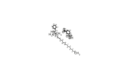 CCCCCCCCCCCCCCCCCC(C)(C)NCc1ccccc1.O=[N+]([O-])c1cccc(S(=O)(=O)O)c1